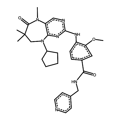 COc1cc(C(=O)NCc2ccncc2)ccc1Nc1ncc2c(n1)N(C1CCCC1)CC(C)(C)C(=O)N2C